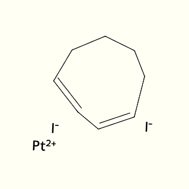 C1=C\CCCC\C=C/1.[I-].[I-].[Pt+2]